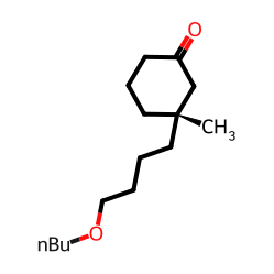 CCCCOCCCC[C@]1(C)CCCC(=O)C1